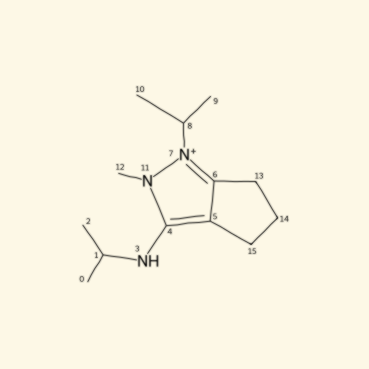 CC(C)Nc1c2c([n+](C(C)C)n1C)CCC2